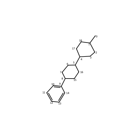 CC1CCC(C2CCC(c3ccccc3)CC2)CC1